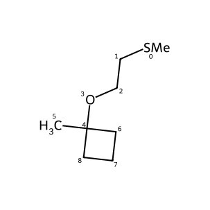 CSCCOC1(C)CCC1